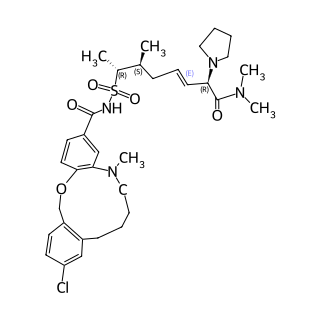 C[C@H]([C@@H](C)C/C=C/[C@H](C(=O)N(C)C)N1CCCC1)S(=O)(=O)NC(=O)c1ccc2c(c1)N(C)CCCCc1cc(Cl)ccc1CO2